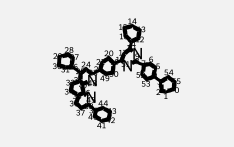 c1ccc(-c2ccc(-c3nc(-c4ccccc4)cc(-c4ccc(-c5cc(-c6ccccc6)c6ccc7ccc(-c8ccccc8)nc7c6n5)cc4)n3)cc2)cc1